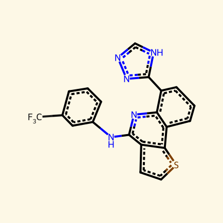 FC(F)(F)c1cccc(Nc2nc3c(-c4nnc[nH]4)cccc3c3sccc23)c1